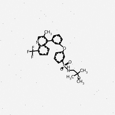 COC(C)(C)CNS(=O)(=O)c1cccc(Oc2cccc(-c3c(C)cnc4c(C(F)(F)F)cccc34)c2)c1